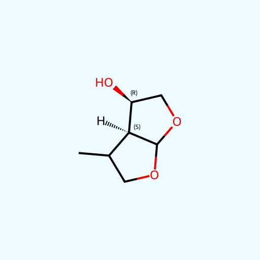 CC1COC2OC[C@H](O)[C@H]12